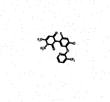 Nn1c(C(F)(F)F)cc(=O)n(-c2cc(Oc3ncccc3C(F)(F)F)c(Cl)cc2F)c1=O